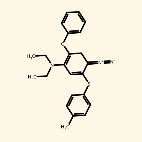 CCN(CC)C1=C(Oc2ccccc2)CC(=[N+]=[N-])C(Sc2ccc(C)cc2)=C1